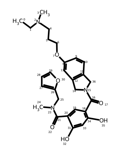 CCN(C)CCCOc1ccc2c(c1)CN(C(=O)c1cc(C(=O)N(C)Cc3ccco3)c(O)cc1O)C2